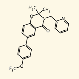 CC1(C)Oc2ccc(-c3ccc(OC(F)(F)F)cc3)cc2C(=O)N1Cc1ccccn1